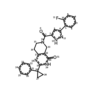 O=C(c1cc(-c2ccccc2F)n[nH]1)N1CCc2nc(C3(c4ccccc4)CC3)[nH]c(=O)c2C1